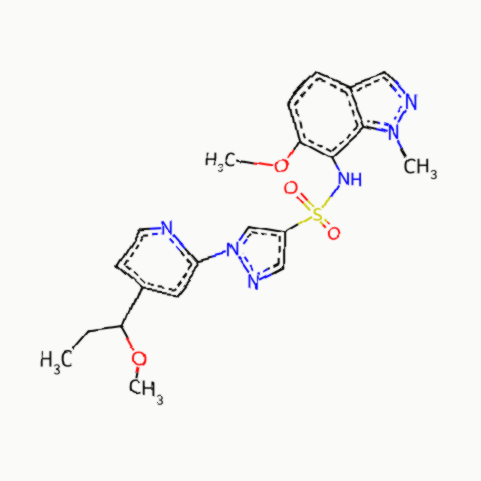 CCC(OC)c1ccnc(-n2cc(S(=O)(=O)Nc3c(OC)ccc4cnn(C)c34)cn2)c1